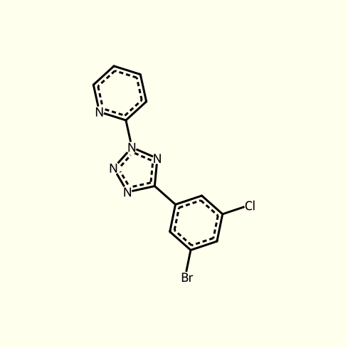 Clc1cc(Br)cc(-c2nnn(-c3ccccn3)n2)c1